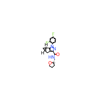 O=C(NC[C@@H]1CCCO1)c1nn(-c2ccc(F)cc2F)c2c1C[C@H]1C[C@@H]21